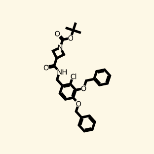 CC(C)(C)OC(=O)N1CC(C(=O)NCc2ccc(OCc3ccccc3)c(OCc3ccccc3)c2Cl)C1